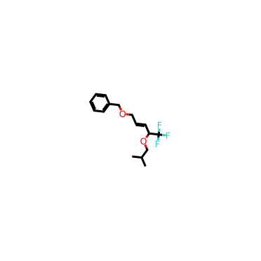 CC(C)COC(C=CCOCc1ccccc1)C(F)(F)F